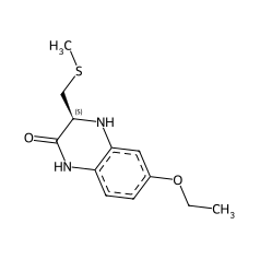 CCOc1ccc2c(c1)N[C@H](CSC)C(=O)N2